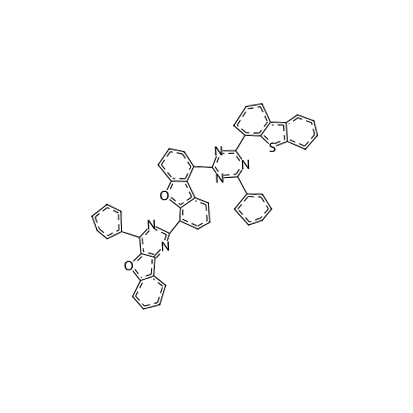 c1ccc(-c2nc(-c3cccc4c3sc3ccccc34)nc(-c3cccc4oc5c(-c6nc(-c7ccccc7)c7oc8ccccc8c7n6)cccc5c34)n2)cc1